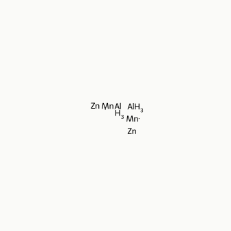 [AlH3].[AlH3].[Mn].[Mn].[Zn].[Zn]